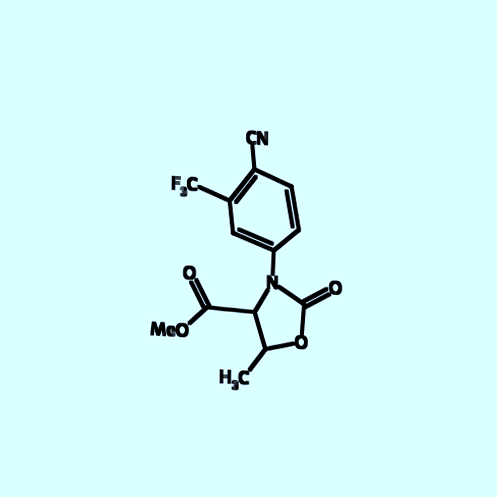 COC(=O)C1C(C)OC(=O)N1c1ccc(C#N)c(C(F)(F)F)c1